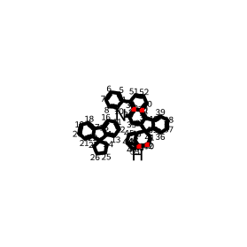 c1ccc(-c2ccccc2N(c2ccc3c(c2)-c2ccccc2C32CCCC2)c2ccc3c(c2)C2(c4ccccc4-3)C3CCC4CC2C[C@@H](C4)C3)cc1